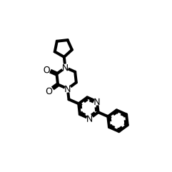 O=C1C(=O)N(C2CCCC2)CCN1Cc1cnc(-c2ccccc2)nc1